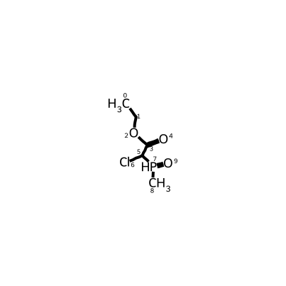 CCOC(=O)C(Cl)[PH](C)=O